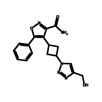 NC(=O)c1noc(-c2ccccc2)c1C1CC(n2cc(CO)nn2)C1